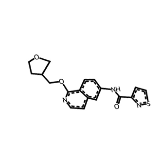 O=C(Nc1ccc2c(OCC3CCOC3)nccc2c1)c1ccsn1